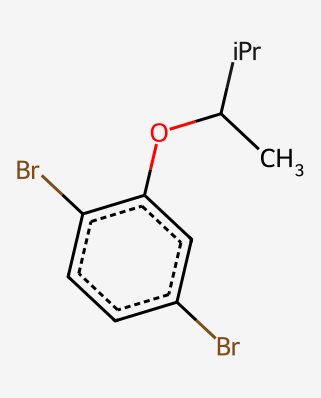 CC(C)C(C)Oc1cc(Br)ccc1Br